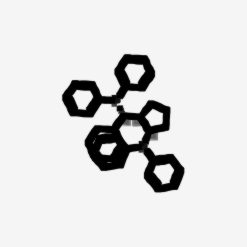 c1ccc(P(c2ccccc2)[C@@H]2CCC[C@@H]2[C@H](C2CCCCC2)P(c2ccccc2)c2ccccc2)cc1